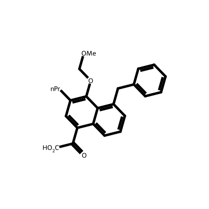 CCCc1cc(C(=O)C(=O)O)c2cccc(Cc3ccccc3)c2c1OCOC